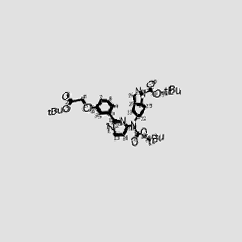 CC(C)(C)OC(=O)COc1cccc(-c2nccc(N(C(=O)OC(C)(C)C)c3ccc4c(cnn4C(=O)OC(C)(C)C)c3)n2)c1